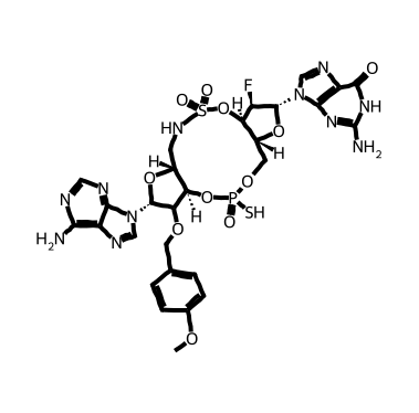 COc1ccc(COC2[C@H](n3cnc4c(N)ncnc43)O[C@@H]3CNS(=O)(=O)O[C@H]4[C@@H](F)[C@H](n5cnc6c(=O)[nH]c(N)nc65)O[C@@H]4COP(=O)(S)O[C@@H]23)cc1